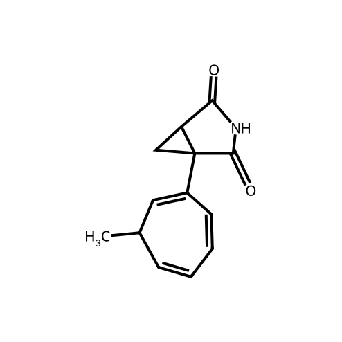 CC1C=CC=CC(C23CC2C(=O)NC3=O)=C1